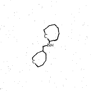 C1CCCC(CNC2CCCCCCC2)CCC1